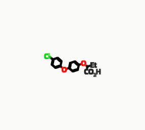 CCC(Oc1ccc(Oc2ccc(Cl)cc2)cc1)C(=O)O